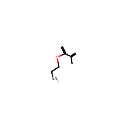 C=C(C)C(=C)OCC[N+](=O)[O-]